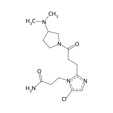 CN(C)C1CCN(C(=O)CCc2ncc(Cl)n2CCC(N)=O)C1